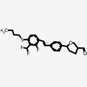 CCCCSc1ccc(/C=C/c2ccc(C3CCC(C=O)CO3)cc2)c(F)c1C(F)F